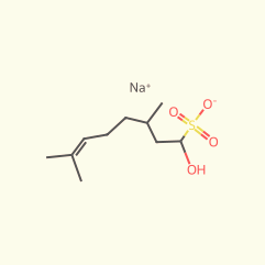 CC(C)=CCCC(C)CC(O)S(=O)(=O)[O-].[Na+]